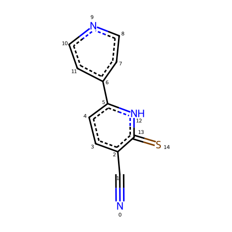 N#Cc1ccc(-c2ccncc2)[nH]c1=S